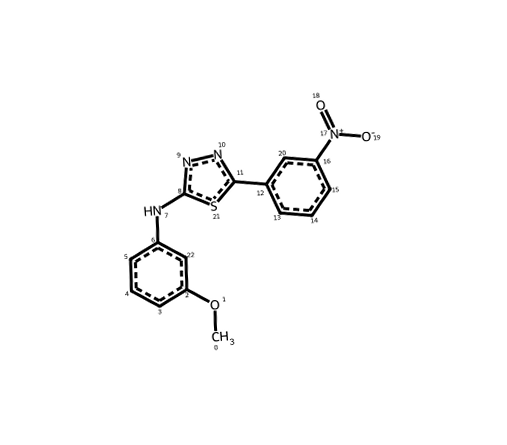 COc1cccc(Nc2nnc(-c3cccc([N+](=O)[O-])c3)s2)c1